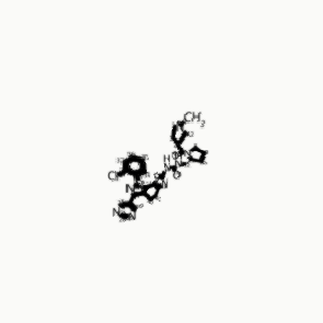 CN1CCC(C(=O)N2CCC[C@@H]2CNC(=O)Nc2nc3c(s2)-c2c(c(-c4cncnc4)nn2-c2ccccc2Cl)CC3)C1